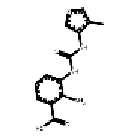 Cc1cscc1NC(=S)Nc1cccc(C(=O)O)c1N